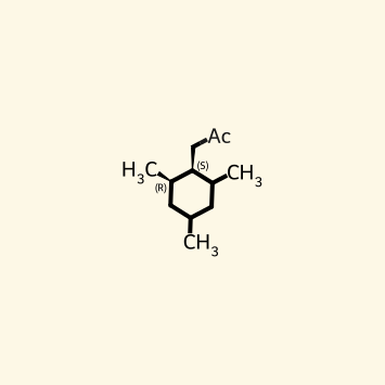 CC(=O)C[C@H]1C(C)CC(C)C[C@H]1C